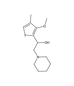 COc1c(C)csc1C(O)CN1CCCCC1